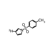 [2H]c1ccn(S(=O)(=O)c2ccc(C)cc2)c1